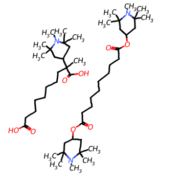 CN1C(C)(C)CC(C(C)(CCCCCCCC(=O)O)C(=O)O)CC1(C)C.CN1C(C)(C)CC(OC(=O)CCCCCCCCC(=O)OC2CC(C)(C)N(C)C(C)(C)C2)CC1(C)C